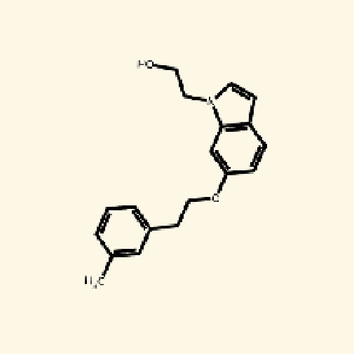 Cc1cccc(CCOc2ccc3ccn(CCO)c3c2)c1